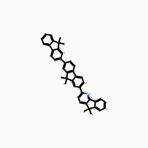 CC1(C)c2ccccc2-c2ccc(-c3ccc4c(c3)C(C)(C)c3cc(-c5ccc6c(n5)-c5ccccc5C6(C)C)ccc3-4)cc21